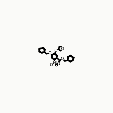 O=C(OCc1ccccc1)c1cc(O[C@H]2CCOC2)c(OCc2ccccc2)cc1[N+](=O)[O-]